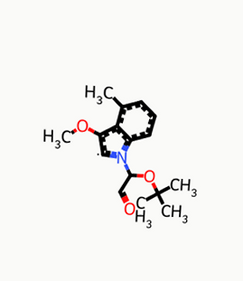 COc1[c]n(C(C=O)OC(C)(C)C)c2cccc(C)c12